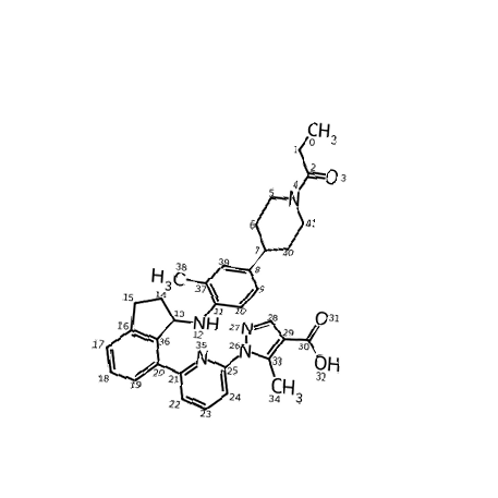 CCC(=O)N1CCC(c2ccc(NC3CCc4cccc(-c5cccc(-n6ncc(C(=O)O)c6C)n5)c43)c(C)c2)CC1